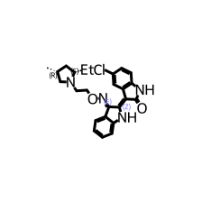 CC[C@H]1C[C@@H](C)CN1CCO/N=C1/C(=C2/C(=O)Nc3ccc(Cl)cc32)Nc2ccccc21